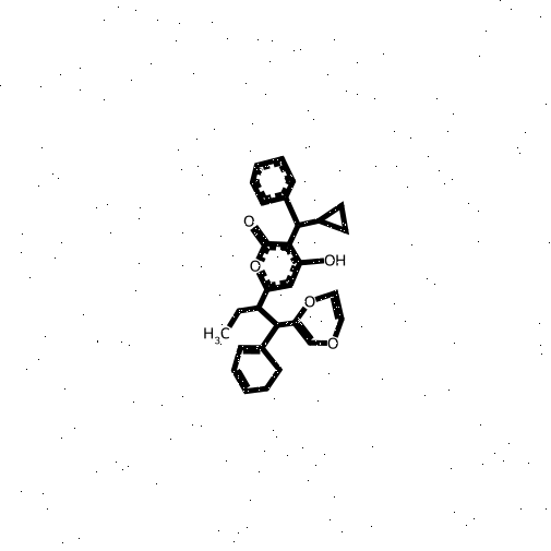 CCC(c1cc(O)c(C(c2ccccc2)C2CC2)c(=O)o1)C(C1=CC=CCC1)C1=COC=CO1